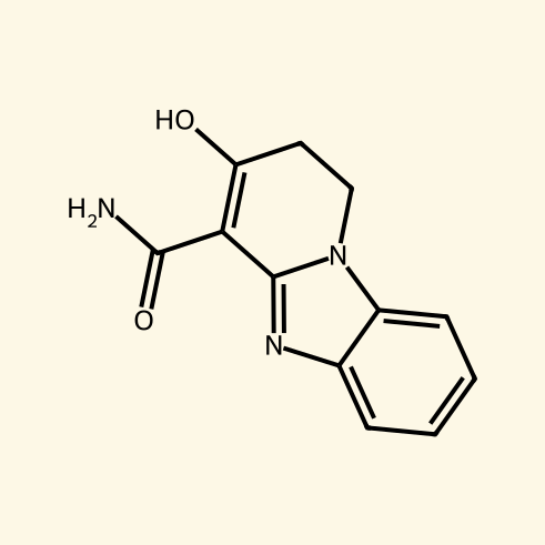 NC(=O)C1=C(O)CCn2c1nc1ccccc12